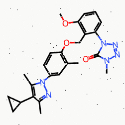 COc1cccc(-n2nnn(C)c2=O)c1COc1ccc(-n2nc(C)c(C3CC3)c2C)cc1C